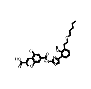 CCCCCOCCc1cccc(-c2csc(NC(=O)c3cc(Cl)c(/C=C(\C)C(=O)O)c(Cl)c3)n2)c1OC